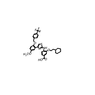 COc1ccc(OCc2ccc(C(F)(F)F)cc2)c(-c2csc(Nc3ccc(C(=O)O)cc3OCCC3CCCCC3)n2)c1